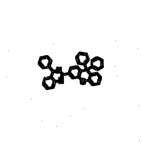 c1ccc(-c2nc(-c3ccc4c(c3)Oc3ccccc3C4(c3ccccc3)c3ccccc3)nc3ccccc23)cc1